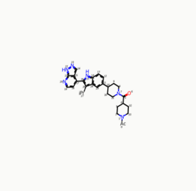 CC(=O)N1CCC(C(=O)N2CCC(c3ccc4[nH]c(-c5ccnc6[nH]ncc56)c(C(C)C)c4c3)CC2)CC1